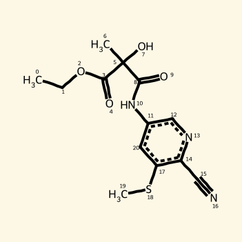 CCOC(=O)C(C)(O)C(=O)Nc1cnc(C#N)c(SC)c1